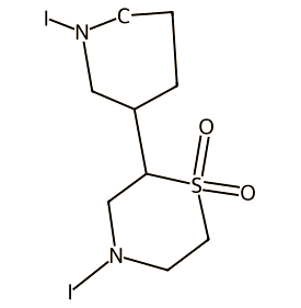 O=S1(=O)CCN(I)CC1C1CCCN(I)C1